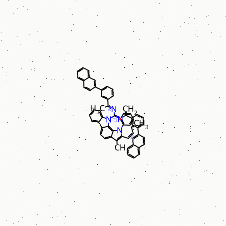 C=C/C=C\c1c(C)c2ccc3c4ccccc4n(C(/N=C(\C)c4cccc(-c5ccc6ccccc6c5)c4)=N/C(=C)c4cccc(-c5ccc6ccccc6c5)c4)c3c2n1-c1ccccc1